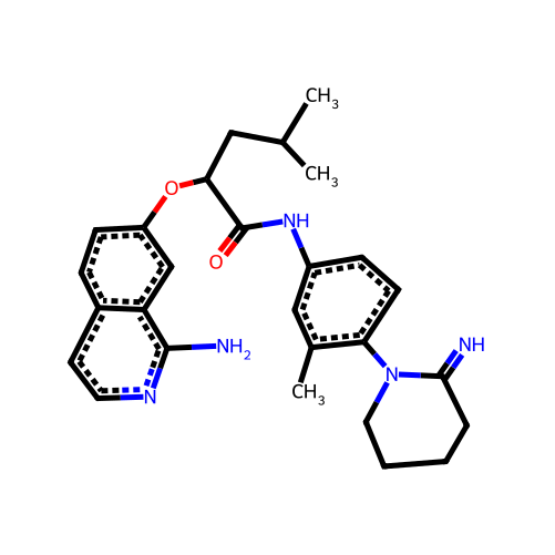 Cc1cc(NC(=O)C(CC(C)C)Oc2ccc3ccnc(N)c3c2)ccc1N1CCCCC1=N